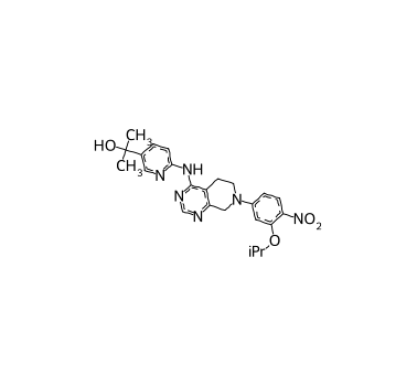 CC(C)Oc1cc(N2CCc3c(ncnc3Nc3ccc(C(C)(C)O)cn3)C2)ccc1[N+](=O)[O-]